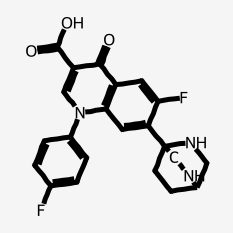 O=C(O)c1cn(-c2ccc(F)cc2)c2cc(C34CCC(CN3)NC4)c(F)cc2c1=O